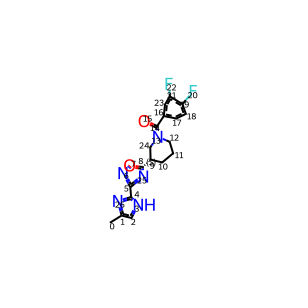 Cc1c[nH]c(-c2noc([C@H]3CCCN(C(=O)c4ccc(F)c(F)c4)C3)n2)n1